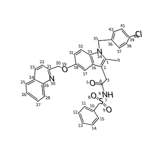 Cc1c(CC(=O)NS(=O)(=O)c2ccccc2)c2cc(OCc3ccc4ccccc4n3)ccc2n1Cc1ccc(Cl)cc1